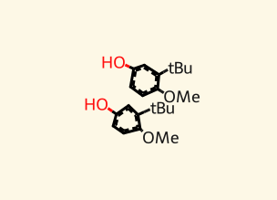 COc1ccc(O)cc1C(C)(C)C.COc1ccc(O)cc1C(C)(C)C